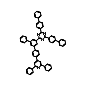 c1ccc(-c2ccc(-c3nc(-c4ccc(-c5ccccc5)cc4)nc(-c4cc(-c5ccccc5)cc(-c5ccc(-c6cc(-c7ccccc7)nc(-c7ccccc7)c6)cc5)c4)n3)cc2)cc1